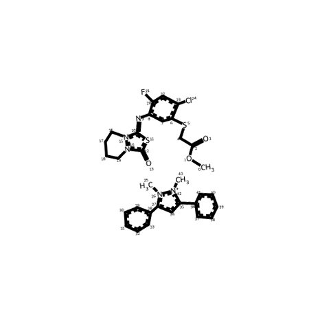 COC(=O)CSc1cc(/N=c2\sc(=O)n3n2CCCC3)c(F)cc1Cl.Cn1c(-c2ccccc2)cc(-c2ccccc2)[n+]1C